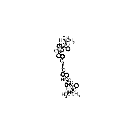 CN[C@@H](C)C(=O)NC(C(=O)N1CCC[C@H]1C(=O)N[C@@H]1CCCc2c(OCC#CCOc3cccc4c3CCC[C@H]4NC(=O)[C@@H]3CCCN3C(=O)[C@@H](NC(=O)[C@H](C)NC)C3CCCCC3)cccc21)C1CCCCC1